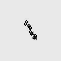 c1ccc2c(-c3ccc4ccc(-c5ccc6ccc(-c7cccc8ncccc78)nc6c5)nc4c3)cccc2c1